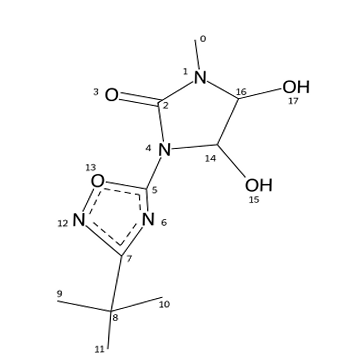 CN1C(=O)N(c2nc(C(C)(C)C)no2)C(O)C1O